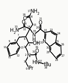 CC(C)CN(CC(O)C(Cc1ccccc1)C(CC(N)=O)(NC(=O)c1ccc2ccccc2n1)C(N)=O)C(=O)NC(C)(C)C